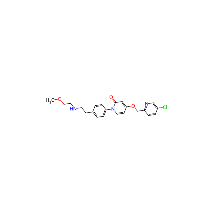 COCCNCCc1ccc(-n2ccc(OCc3ccc(Cl)cn3)cc2=O)cc1